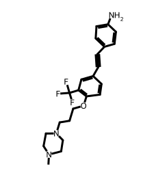 CN1CCN(CCCOc2ccc(C#Cc3ccc(N)cc3)cc2C(F)(F)F)CC1